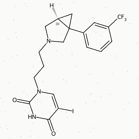 O=c1[nH]c(=O)n(CCCN2C[C@H]3CC3(c3cccc(C(F)(F)F)c3)C2)cc1I